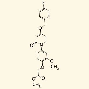 COC(=O)COc1ccc(-n2ccc(OCc3ccc(F)cc3)cc2=O)cc1OC